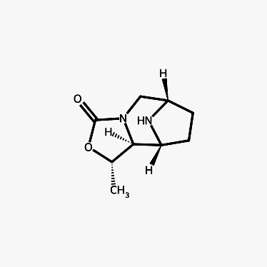 C[C@@H]1OC(=O)N2C[C@@H]3CC[C@@H](N3)[C@@H]12